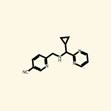 N#Cc1ccc(CNC(c2ncccn2)C2CC2)nc1